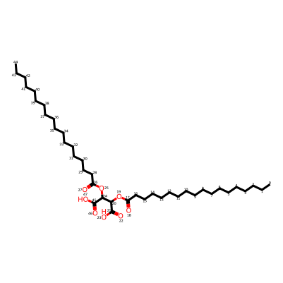 CCCCCCCCCCCCCCCCCC(=O)OC(C(=O)O)C(OC(=O)CCCCCCCCCCCCCCCCC)C(=O)O